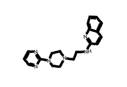 c1cnc(N2CCN(CCNc3ccc4ccccc4n3)CC2)nc1